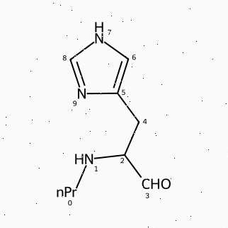 CCCNC(C=O)Cc1c[nH]cn1